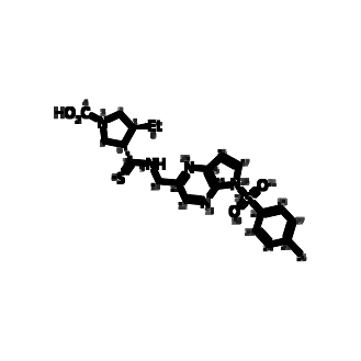 CC[C@@H]1CN(C(=O)O)C[C@H]1C(=S)NCc1cnc2c(ccn2S(=O)(=O)c2ccc(C)cc2)n1